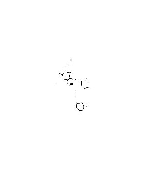 Cc1cccc(OCCOc2nc3c(c(=O)n(CCO)c(=O)n3C)n2CC2=CC=C(Cl)CC2C)c1